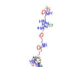 CC(C)(C)OC(=O)NCCNc1nc(Cl)nc(NCCOCCCNC(=O)CCCC[C@@H]2SC[C@@H]3NC(=O)N[C@@H]32)n1